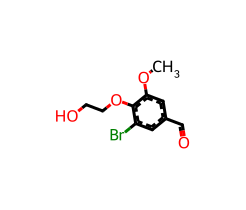 COc1cc(C=O)cc(Br)c1OCCO